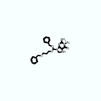 CC(=O)n1c(N)nc2c(c1=O)NCN2C(OCCCOCc1ccccc1)OCc1ccccc1